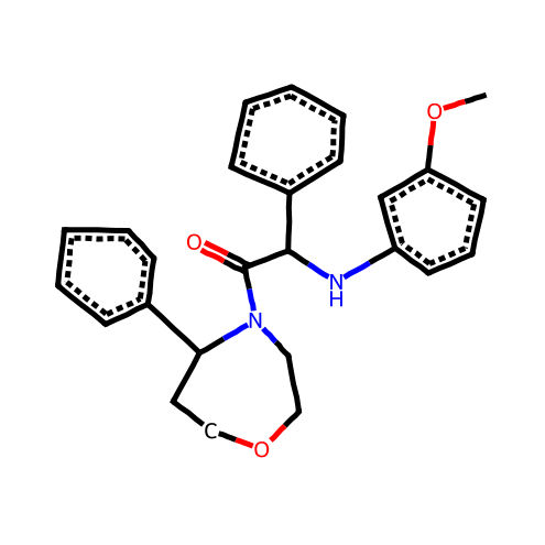 COc1cccc(NC(C(=O)N2CCOCCC2c2ccccc2)c2ccccc2)c1